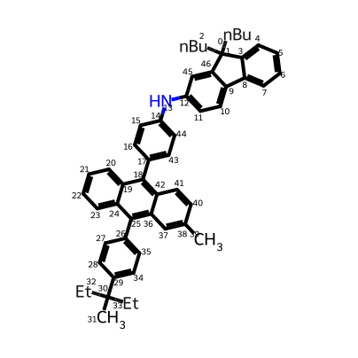 CCCCC1(CCCC)c2ccccc2-c2ccc(Nc3ccc(-c4c5ccccc5c(-c5ccc(C(C)(CC)CC)cc5)c5cc(C)ccc45)cc3)cc21